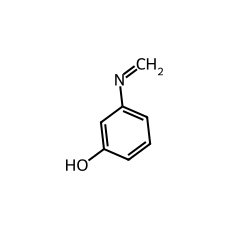 C=Nc1cccc(O)c1